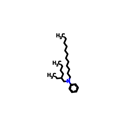 CCCCCCCCCCCCN(CC(CC)CCCC)c1ccccc1